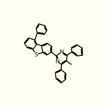 Cc1c(-c2ccccc2)nc(-c2ccc3c(c2)sc2cccc(-c4ccccc4)c23)nc1-c1ccccc1